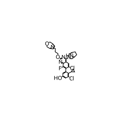 Oc1cc(Cl)c(C2CC2)c(-c2c(Cl)cc3c(N4CC5CCC(C4)N5)nc(OCCCN4C5CCC4COC5)nc3c2F)c1